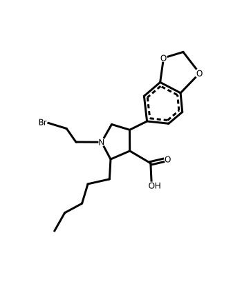 CCCCCC1C(C(=O)O)C(c2ccc3c(c2)OCO3)CN1CCBr